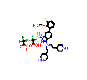 Cn1nc(N(CCC2CCNCC2)CCC2CCNCC2)c2ccc(-c3cccc(F)c3OCC(F)(F)F)cc21.O=C(O)C(F)(F)F.O=C(O)C(F)(F)F